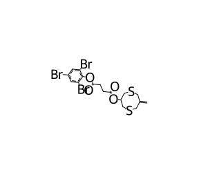 C=C1CSCC(OC(=O)CCC(=O)Oc2c(Br)cc(Br)cc2Br)CSC1